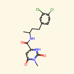 CC(CCc1ccc(Cl)c(Cl)c1)NC(=O)c1cc(=O)n(C)c(=O)[nH]1